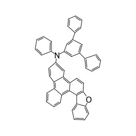 c1ccc(-c2cc(-c3ccccc3)cc(N(c3ccccc3)c3ccc4c5ccccc5c5c(ccc6oc7ccccc7c65)c4c3)c2)cc1